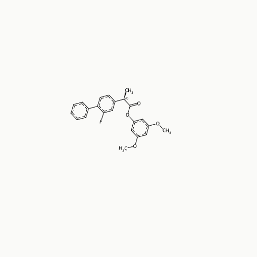 COc1cc(OC)cc(OC(=O)[C@H](C)c2ccc(-c3ccccc3)c(F)c2)c1